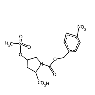 CS(=O)(=O)OC1CC(C(=O)O)N(C(=O)OCc2ccc([N+](=O)[O-])cc2)C1